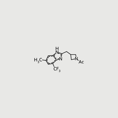 CC(=O)N1CC(Cc2nc3c(C(F)(F)F)cc(C)cc3[nH]2)C1